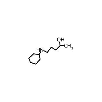 CC(O)CCCNC1CCCCC1